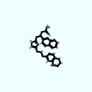 O=C(O)CC(Cc1nc(CCCc2ccc3c(n2)NCCC3)no1)c1ccc2ccccc2c1